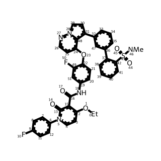 CCOc1ccn(-c2ccc(F)cc2)c(=O)c1C(=O)Nc1ccc(Oc2ccnn3ccc(-c4cccc(-c5ccccc5S(=O)(=O)NC)c4)c23)c(F)c1